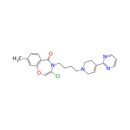 Cc1ccc2c(c1)OC=C(Cl)N(CCCCN1CC=C(c3ncccn3)CC1)C2=O